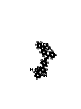 CC1(C)c2ccccc2Nc2ccc(-c3ccc(/C=C/C(c4ccccc4)c4ccc5c(c4)C(C)(C)c4ccccc4-5)cc3)cc21